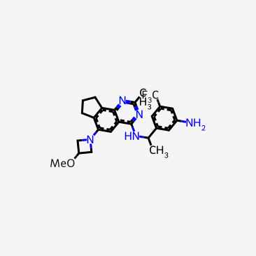 COC1CN(c2cc3c(NC(C)c4cc(N)cc(C(F)(F)F)c4)nc(C)nc3c3c2CCC3)C1